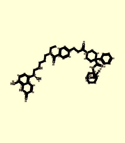 CCN(CCCNC[C@H](O)c1ccc(O)c2[nH]c(=O)ccc12)C(=O)c1ccc(CCC(=O)N2CCC(C(=O)O[C@H]3CN4CCC3CC4)(c3ccccc3)CC2)cc1